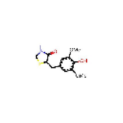 COc1cc(CC2SCNC2=O)cc(OC)c1O